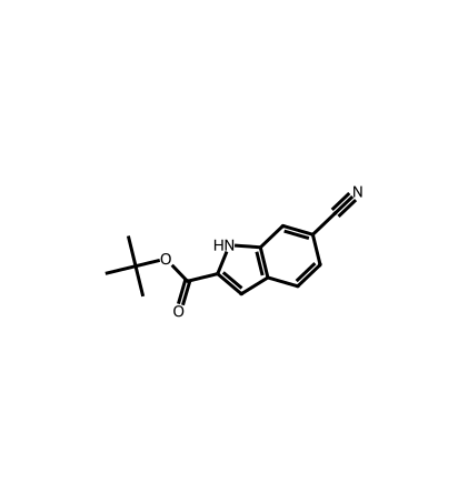 CC(C)(C)OC(=O)c1cc2ccc(C#N)cc2[nH]1